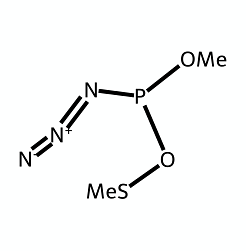 COP(N=[N+]=[N-])OSC